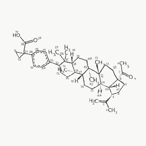 C=C(C)[C@@H]1CC[C@]2(C(C)=O)CC[C@]3(C)[C@H](CC[C@@H]4[C@@]5(C)CC=C(c6ccc(C7(C(=O)O)CC7)cc6)C(C)(C)[C@@H]5CC[C@]43C)[C@@H]12